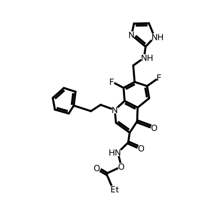 CCC(=O)ONC(=O)c1cn(CCc2ccccc2)c2c(F)c(CNc3ncc[nH]3)c(F)cc2c1=O